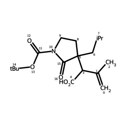 C=C(C)C(C(=O)O)C1(CC(C)C)CCN(C(=O)OC(C)(C)C)C1=O